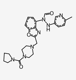 Cc1ccc(NN(C=O)c2cccc3oc(CN4CCN(C(=O)N5CCCC5)CC4)nc23)cn1